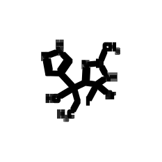 CCC(O)(C1=NN(C)NC1(Br)I)c1cn[nH]c1